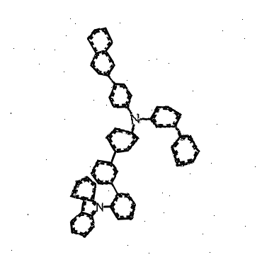 c1ccc(-c2cccc(N(c3ccc(-c4cccc(-c5ccccc5-n5c6ccccc6c6ccccc65)c4)cc3)c3ccc(-c4ccc5ccccc5c4)cc3)c2)cc1